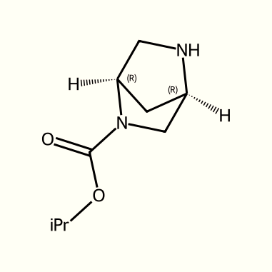 CC(C)OC(=O)N1C[C@H]2C[C@@H]1CN2